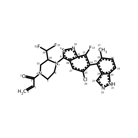 C=CC(=O)N1CCN(c2snc3c(F)c(-c4c(C)ccc5[nH]ncc45)c(Cl)cc23)C(C(F)F)C1